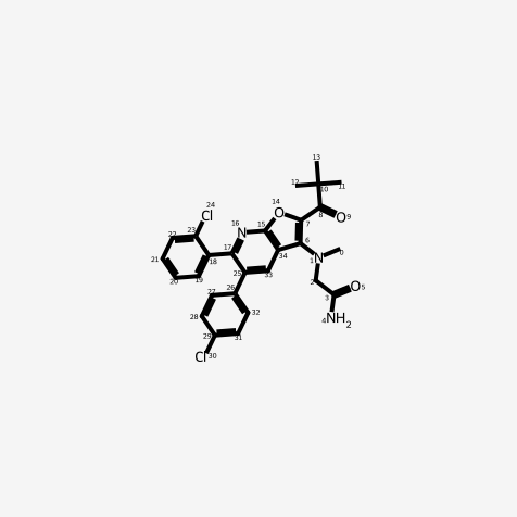 CN(CC(N)=O)c1c(C(=O)C(C)(C)C)oc2nc(-c3ccccc3Cl)c(-c3ccc(Cl)cc3)cc12